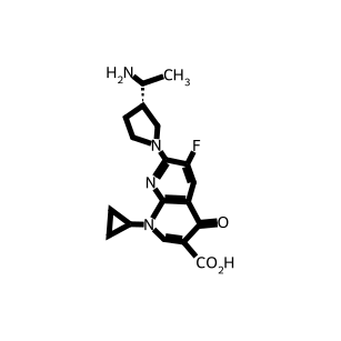 CC(N)[C@H]1CCN(c2nc3c(cc2F)c(=O)c(C(=O)O)cn3C2CC2)C1